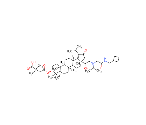 CC(C)C1=C2[C@H]3CC[C@@H]4[C@@]5(C)CC[C@H](OC(=O)CC(C)(C)C(=O)O)C(C)(C)[C@@H]5CC[C@@]4(C)[C@]3(C)CC[C@@]2([C@@H](O)CN(CC(=O)NCC2CCC2)C(C)C)CC1=O